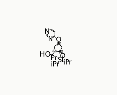 CC(C)[Si](O[C@H]1C[C@H](Oc2ccncn2)C[C@@H]1CO)(C(C)C)C(C)C